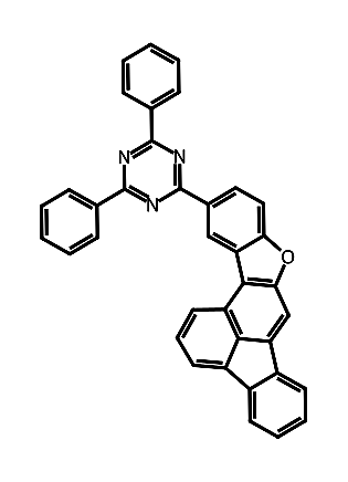 c1ccc(-c2nc(-c3ccccc3)nc(-c3ccc4oc5cc6c7c(cccc7c5c4c3)-c3ccccc3-6)n2)cc1